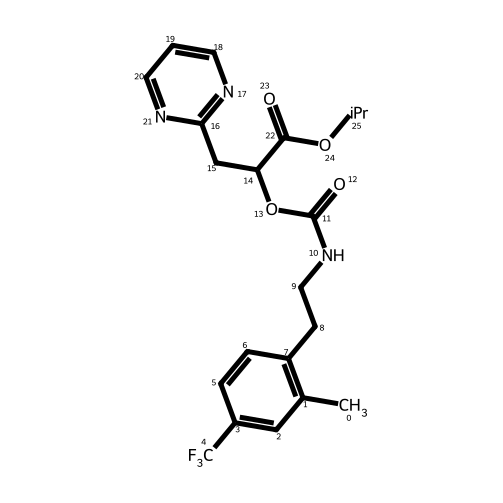 Cc1cc(C(F)(F)F)ccc1CCNC(=O)OC(Cc1ncccn1)C(=O)OC(C)C